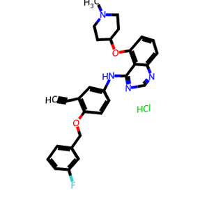 C#Cc1cc(Nc2ncnc3cccc(OC4CCN(C)CC4)c23)ccc1OCc1cccc(F)c1.Cl